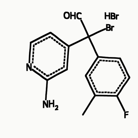 Br.Cc1cc(C(Br)(C=O)c2ccnc(N)c2)ccc1F